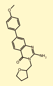 COc1ccc(-c2ccc3c(=O)n(CC4CCCO4)c(N)nc3c2)cc1